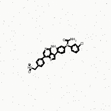 NC(=O)N(c1ccc(-c2csc3c(-c4ccc(C[SH](=O)=O)cc4)cnc(N)c23)cc1)c1cccc(Cl)c1